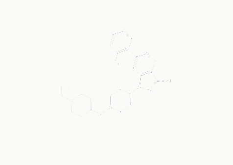 CC(C)(C)c1cc(O)ccc1-c1cc2c(nn1)c(N)nn2C1CCN(CC2CCN(CC(=O)O)CC2)CC1